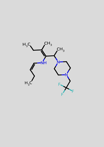 CC/C=C\N/C(=C(/C)CC)C(C)N1CCN(CC(F)(F)F)CC1